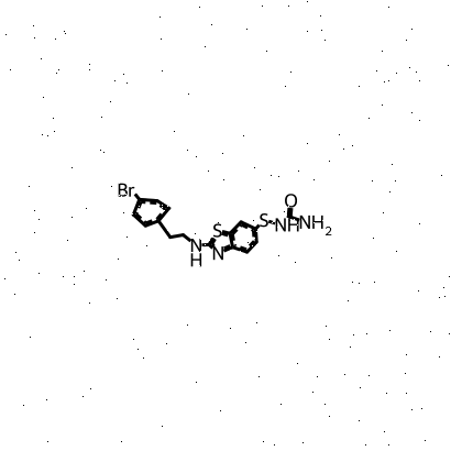 NC(=O)NSc1ccc2nc(NCCc3ccc(Br)cc3)sc2c1